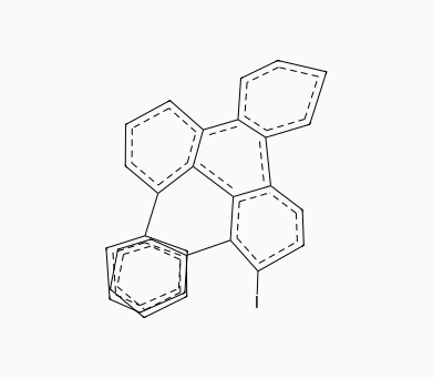 Ic1ccc2c3ccccc3c3cccc(-c4ccccc4)c3c2c1-c1ccccc1